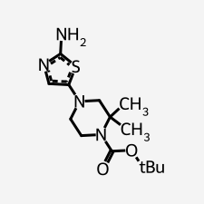 CC(C)(C)OC(=O)N1CCN(c2cnc(N)s2)CC1(C)C